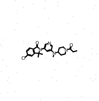 CCC(=O)N1CCC(N(C)c2cncc(N3C(=O)c4ccc(Cl)cc4C3(C)C)c2)CC1